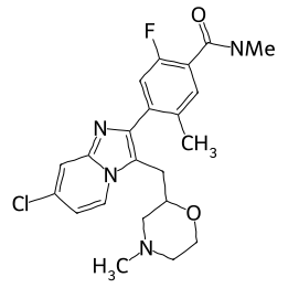 CNC(=O)c1cc(C)c(-c2nc3cc(Cl)ccn3c2CC2CN(C)CCO2)cc1F